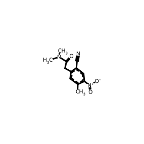 Cc1cc(CC(=O)N(C)C)c(C#N)cc1[N+](=O)[O-]